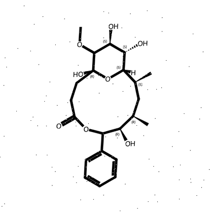 COC1[C@@H](O)[C@H](O)[C@H]2O[C@]1(O)CCC(=O)OC(c1ccccc1)[C@H](O)[C@H](C)C[C@@H]2C